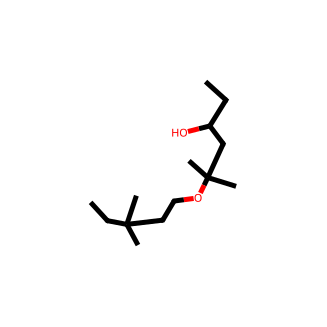 CCC(O)CC(C)(C)OCCC(C)(C)CC